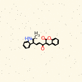 Cc1[nH]c2ccccc2c1C=CC(=O)c1cc2ccccc2oc1=O